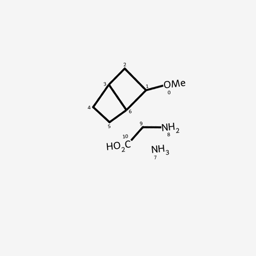 COC1CC2CCC21.N.NCC(=O)O